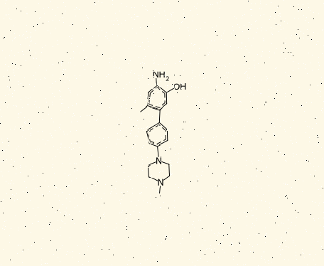 Cc1cc(N)c(O)cc1-c1ccc(N2CCN(C)CC2)cc1